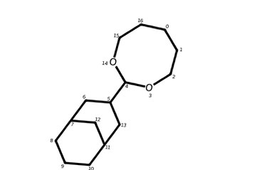 C1CCOC(C2CC3CCCC(C3)C2)OCC1